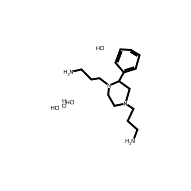 Cl.Cl.Cl.Cl.NCCCN1CCN(CCCN)C(c2ccccc2)C1